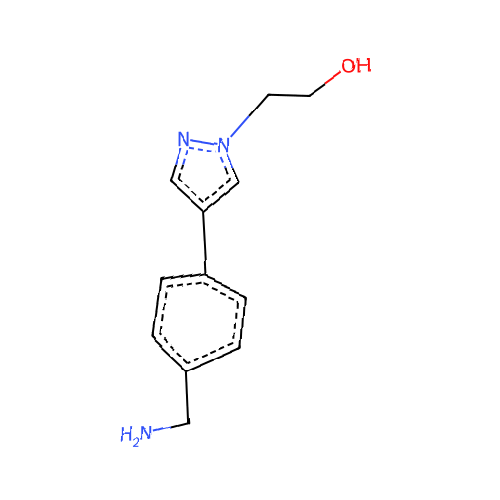 NCc1ccc(-c2cnn(CCO)c2)cc1